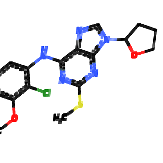 COc1cccc(Nc2nc(SC)nc3c2ncn3C2CCCO2)c1Cl